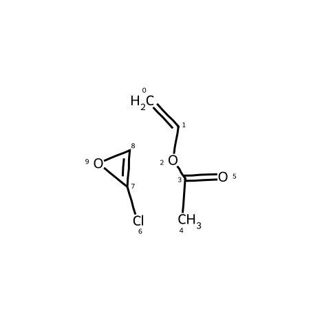 C=COC(C)=O.ClC1=CO1